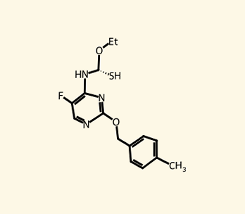 CCO[C@H](S)Nc1nc(OCc2ccc(C)cc2)ncc1F